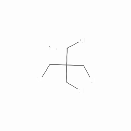 ClCC(CCl)(CCl)CCl.[No]